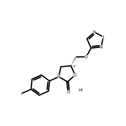 I.O=C1O[C@@H](COc2cnsn2)CN1c1ccc(I)cc1